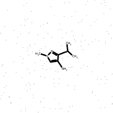 CC(C)c1nn(C)cc1N